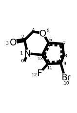 CN1C(=O)COc2ccc(Br)c(F)c21